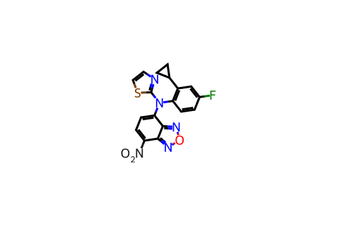 O=[N+]([O-])c1ccc(N(c2nccs2)c2ccc(F)cc2C2CC2)c2nonc12